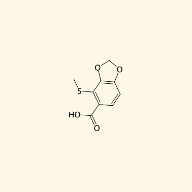 CSc1c(C(=O)O)ccc2c1OCO2